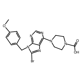 COc1ccc(Cn2c(Br)nc3c(N4CCN(C(=O)O)CC4)ncnc32)cc1